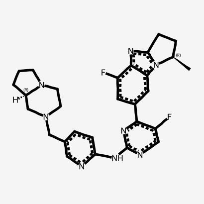 C[C@@H]1CCc2nc3c(F)cc(-c4nc(Nc5ccc(CN6CCN7CCC[C@@H]7C6)cn5)ncc4F)cc3n21